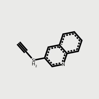 C#C[SiH2]c1cnc2ccccc2c1